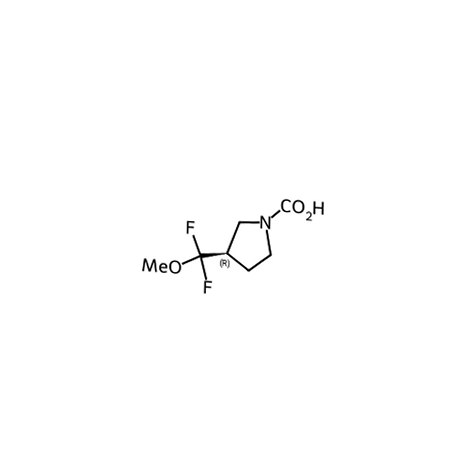 COC(F)(F)[C@@H]1CCN(C(=O)O)C1